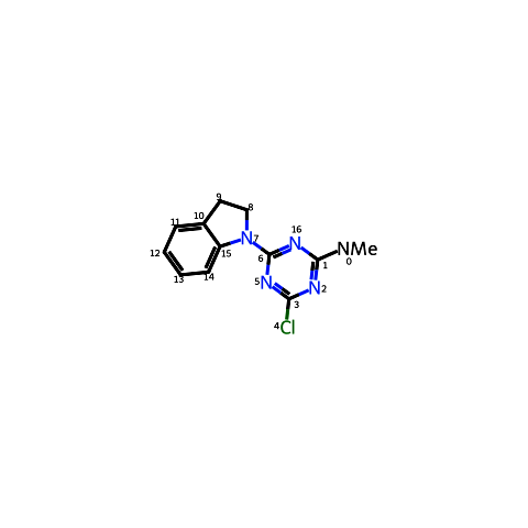 CNc1nc(Cl)nc(N2CCc3ccccc32)n1